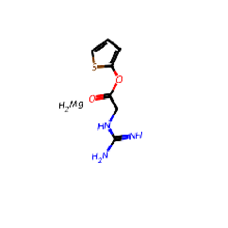 N=C(N)NCC(=O)Oc1cccs1.[MgH2]